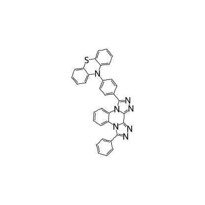 c1ccc(-c2nnc3c4nnc(-c5ccc(N6c7ccccc7Sc7ccccc76)cc5)n4c4ccccc4n23)cc1